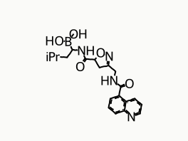 CC(C)CC(NC(=O)C1CC(CNC(=O)c2cccc3ncccc23)=NO1)B(O)O